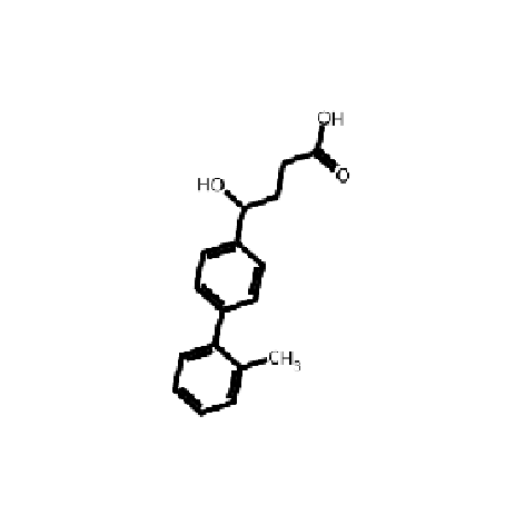 Cc1ccccc1-c1ccc(C(O)CCC(=O)O)cc1